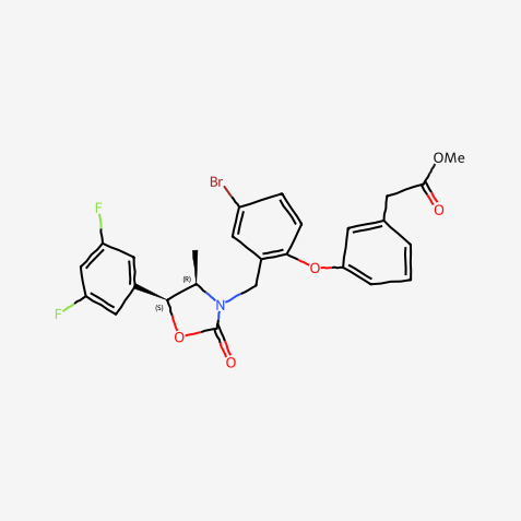 COC(=O)Cc1cccc(Oc2ccc(Br)cc2CN2C(=O)O[C@@H](c3cc(F)cc(F)c3)[C@H]2C)c1